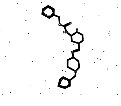 O=C(NC1CC(C=NC2CCN(Cc3ccccc3)CC2)CCN1)OCc1ccccc1